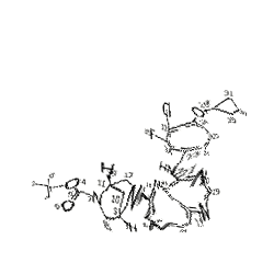 CC(C)(C)OC(=O)N1C[C@@H]2C[C@H]1CN2c1ncc2ncnc(Nc3ccc(OC4CCC4)c(Cl)c3F)c2n1